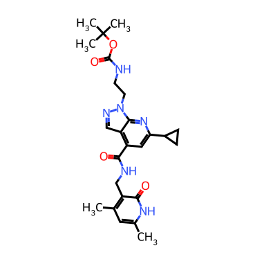 Cc1cc(C)c(CNC(=O)c2cc(C3CC3)nc3c2cnn3CCNC(=O)OC(C)(C)C)c(=O)[nH]1